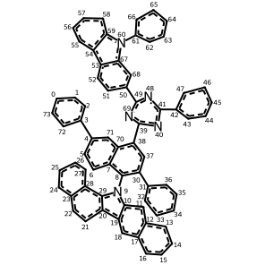 c1ccc(-c2ccc3c(-n4c5cc6ccccc6cc5c5ccc6ccccc6c54)c(-c4ccccc4)cc(-c4nc(-c5ccccc5)nc(-c5ccc6c7ccccc7n(-c7ccccc7)c6c5)n4)c3c2)cc1